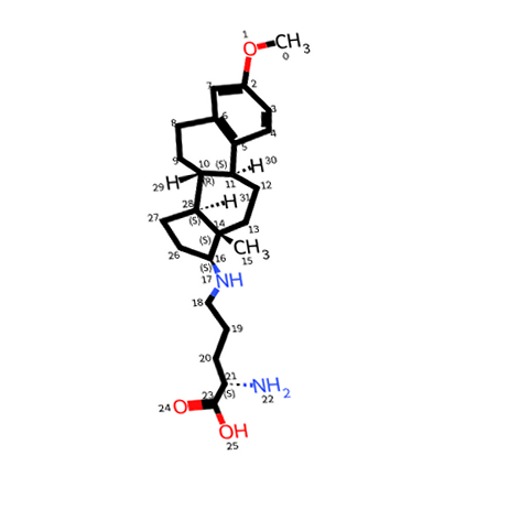 COc1ccc2c(c1)CC[C@@H]1[C@@H]2CC[C@]2(C)[C@@H](NCCC[C@H](N)C(=O)O)CC[C@@H]12